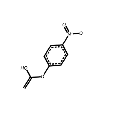 C=C(O)Oc1ccc([N+](=O)[O-])cc1